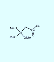 CC[CH](C)[Co](=[O])[CH2][Si](OC)(OC)OC